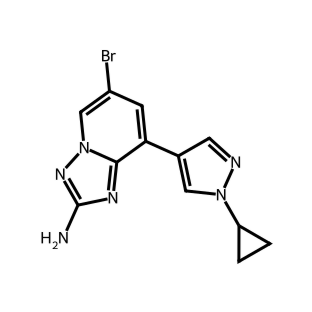 Nc1nc2c(-c3cnn(C4CC4)c3)cc(Br)cn2n1